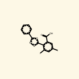 O=C(O)c1cc(I)cc(I)c1-c1nnc(-c2ccccc2)o1